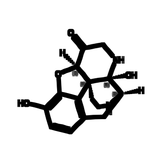 O=C1CN[C@@]2(O)[C@H]3Cc4ccc(O)c5c4[C@@]2(CCN3)[C@H]1O5